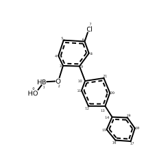 OBOc1ccc(Cl)cc1-c1ccc(-c2ccccc2)cc1